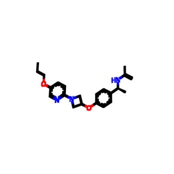 C=C(C)N[C@@H](C)c1ccc(OC2CN(c3ccc(OCCC)cn3)C2)cc1